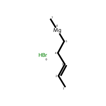 Br.CC=CC[CH2][Mg][CH3]